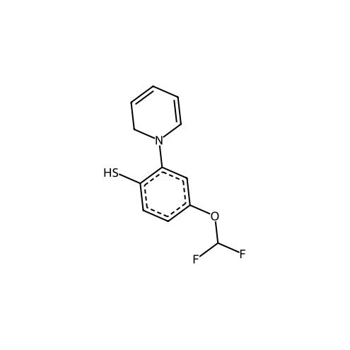 FC(F)Oc1ccc(S)c(N2C=CC=CC2)c1